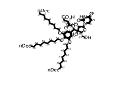 CCCCCCCCCCCCCCCCCCOc1cc(C(OC(=O)CCC(=O)O)[C@@]2(O)[C@@H](CO)O[C@@H](n3ccc(=O)[nH]c3=O)[C@@H]2OC)cc(OCCCCCCCCCCCCCCCCCC)c1OCCCCCCCCCCCCCCCCCC